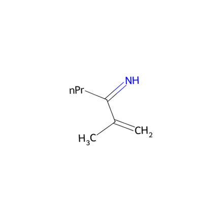 C=C(C)C(=N)CCC